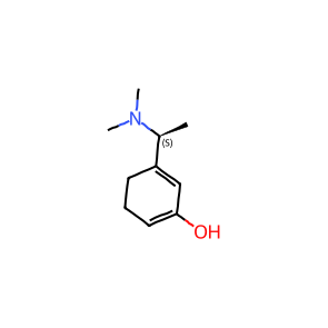 C[C@@H](C1=CC(O)=CCC1)N(C)C